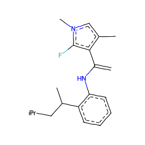 C=C(Nc1ccccc1C(C)CC(C)C)c1c(C)cn(C)c1F